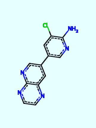 Nc1ncc(-c2cnc3nccnc3c2)cc1Cl